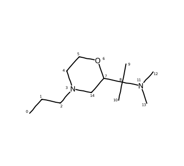 CCCN1CCOC(C(C)(C)N(C)C)C1